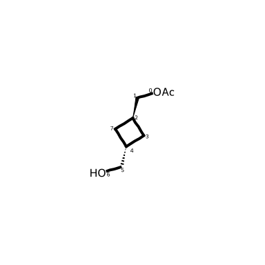 CC(=O)OC[C@H]1C[C@H](CO)C1